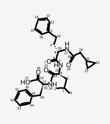 CC(C)C[C@H](NC(=O)[C@H](CCc1ccccc1)NC(=O)CC1CC1)C(=O)N[C@@H](Cc1ccccc1)C(=O)O